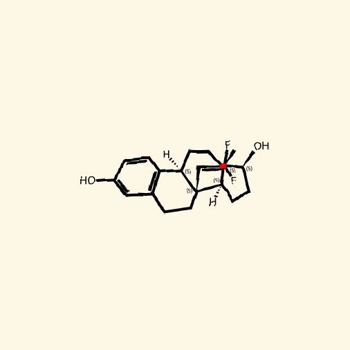 C[C@]12CC[C@@H]3c4ccc(O)cc4CC[C@@]3(C=C(F)F)[C@@H]1CC[C@@H]2O